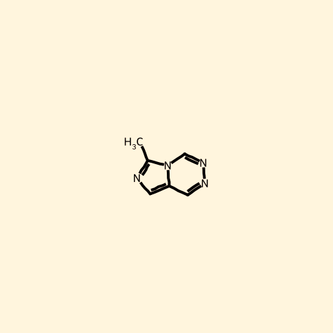 Cc1ncc2cnncn12